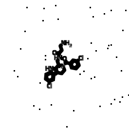 NCCC(=O)NCC1c2[nH]c3ccc(Cl)cc3c2CCN1C(=O)c1cccc(Cl)c1